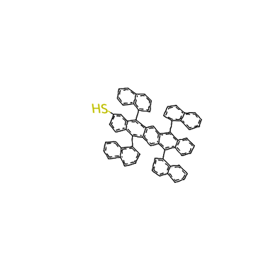 Sc1ccc2c(-c3cccc4ccccc34)c3cc4c(-c5cccc6ccccc56)c5ccccc5c(-c5cccc6ccccc56)c4cc3c(-c3cccc4ccccc34)c2c1